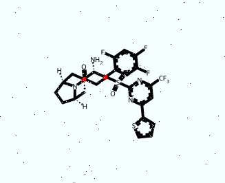 N[C@H](Cc1cc(F)c(F)cc1F)[C@@H]1C[C@H]2CC[C@@H](C1)N2C(=O)CCS(=O)(=O)c1nc(-c2cccs2)cc(C(F)(F)F)n1